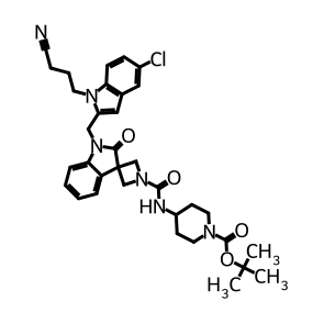 CC(C)(C)OC(=O)N1CCC(NC(=O)N2CC3(C2)C(=O)N(Cc2cc4cc(Cl)ccc4n2CCCC#N)c2ccccc23)CC1